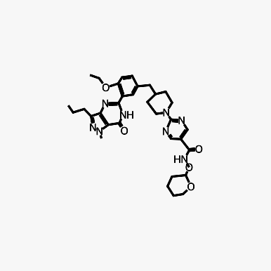 CCCc1nn(C)c2c(=O)[nH]c(-c3cc(CC4CCN(c5ncc(C(=O)NOC6CCCCO6)cn5)CC4)ccc3OCC)nc12